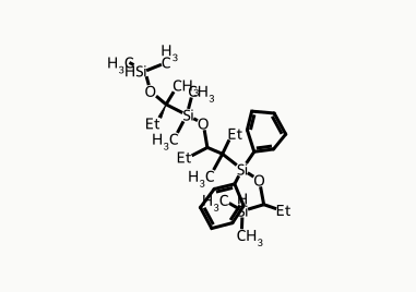 CCC(O[Si](c1ccccc1)(c1ccccc1)C(C)(CC)C(CC)O[Si](C)(C)[C@](C)(CC)O[SiH](C)C)[SiH](C)C